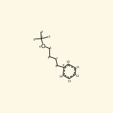 CC(C)(C)OCCCCc1ccccc1